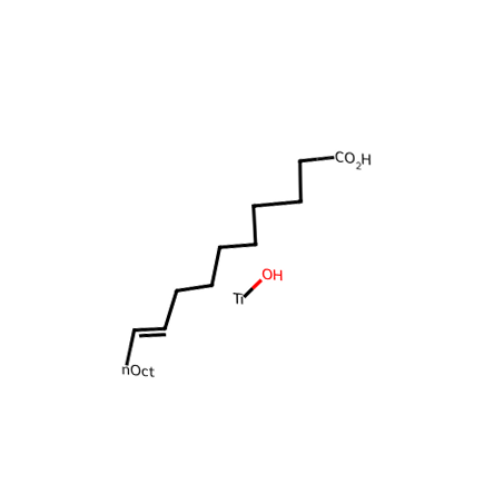 CCCCCCCCC=CCCCCCCCC(=O)O.[OH][Ti]